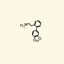 NCCc1ccccc1-c1ccc2c(c1)OCO2